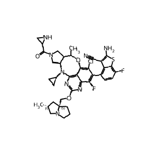 CC1Oc2c(Cl)c(-c3ccc(F)c4sc(N)c(C#N)c34)c(F)c3nc(OC[C@@]45CCCN4C[C@H](C)C5)nc(c23)N(C2CC2)C2CN(C(=O)C3CN3)CC12